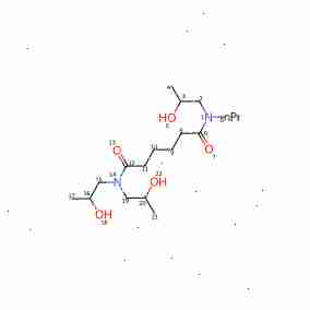 CCCN(CC(C)O)C(=O)CCCCC(=O)N(CC(C)O)CC(C)O